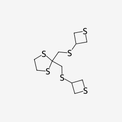 C1CSC(CSC2CSC2)(CSC2CSC2)S1